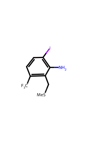 CSCc1c(C(F)(F)F)ccc(I)c1N